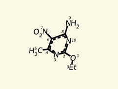 CCOc1nc(C)c([N+](=O)[O-])c(N)n1